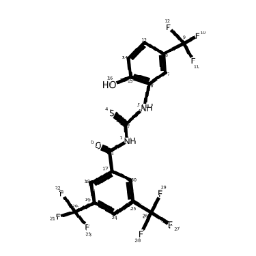 O=C(NC(=S)Nc1cc(C(F)(F)F)ccc1O)c1cc(C(F)(F)F)cc(C(F)(F)F)c1